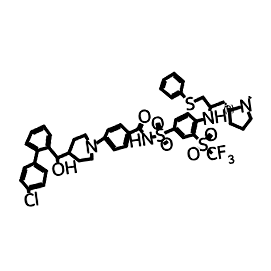 CN1CCC[C@@H]1CC(CSc1ccccc1)Nc1ccc(S(=O)(=O)NC(=O)c2ccc(N3CCC(C(O)c4ccccc4-c4ccc(Cl)cc4)CC3)cc2)cc1S(=O)(=O)C(F)(F)F